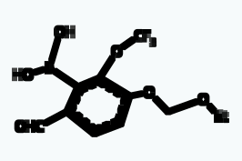 CCOCOc1ccc(C=O)c(B(O)O)c1OC(F)(F)F